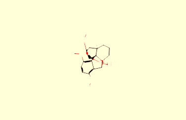 COc1ccc(OC)c2c1C[C@@H]1CCC[C@H]3Cc4c(OC)ccc(OC)c4C213